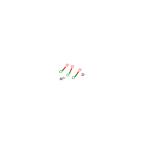 [Al+3].[O-]Cl.[O-]Cl.[O-]Cl.[Zr]